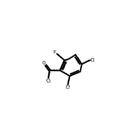 O=C(Cl)c1c(F)cc(Cl)cc1Cl